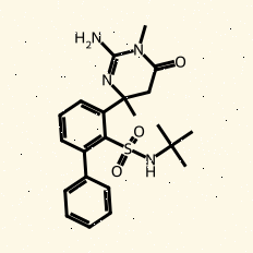 CN1C(=O)CC(C)(c2cccc(-c3ccccc3)c2S(=O)(=O)NC(C)(C)C)N=C1N